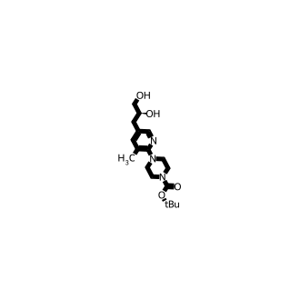 Cc1cc(C[C@@H](O)CO)cnc1N1CCN(C(=O)OC(C)(C)C)CC1